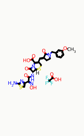 COc1cccc(CN2CCC(=CC3=C(C(=O)O)N4C(=O)[C@@H](NC(=O)C(=NO)c5csc(N)n5)[C@H]4SC3)C2=O)c1.O=C(O)C(F)(F)F